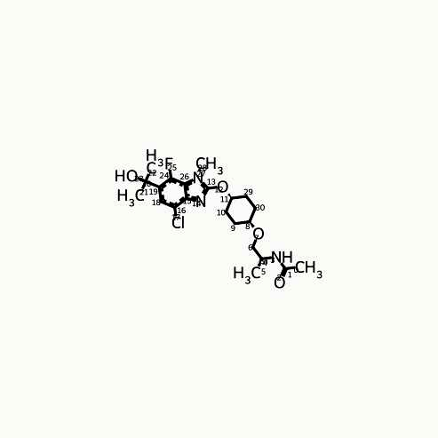 CC(=O)N[C@@H](C)CO[C@H]1CC[C@H](Oc2nc3c(Cl)cc(C(C)(C)O)c(F)c3n2C)CC1